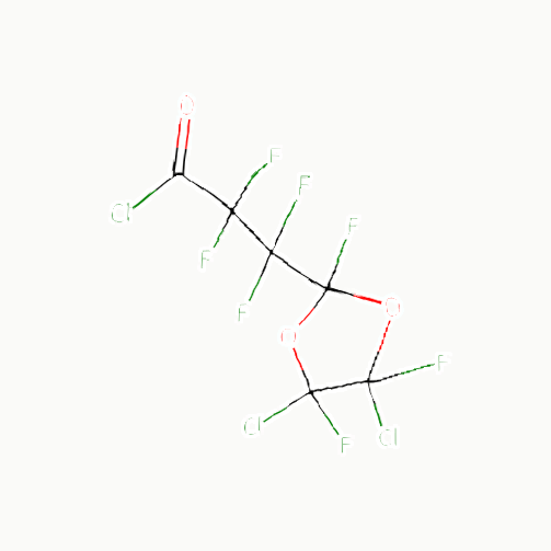 O=C(Cl)C(F)(F)C(F)(F)C1(F)OC(F)(Cl)C(F)(Cl)O1